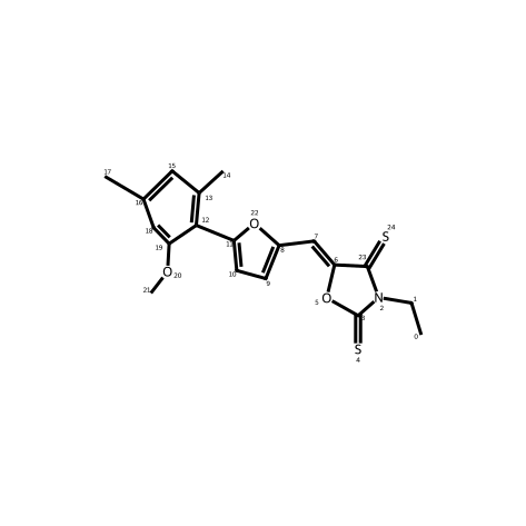 CCN1C(=S)O/C(=C\c2ccc(-c3c(C)cc(C)cc3OC)o2)C1=S